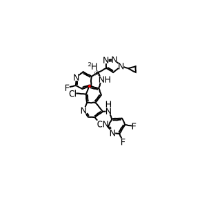 [2H][C@](Nc1cc(Cl)c2ncc(C#N)c(Nc3cnc(F)c(F)c3)c2c1)(c1ccc(F)nc1)c1cn(C2CC2)nn1